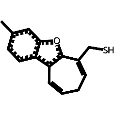 Cc1ccc2c3c(oc2c1)C(CS)=CCC=C3